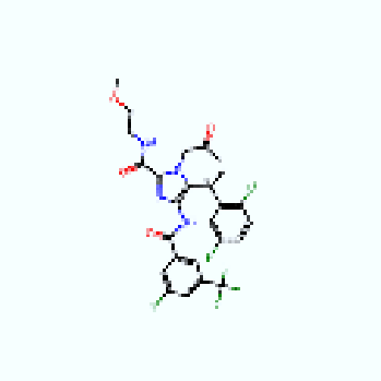 COCCNC(=O)c1nc(NC(=O)c2cc(F)cc(C(F)(F)F)c2)c([C@@H](C)c2cc(F)ccc2Cl)n1CC(C)=O